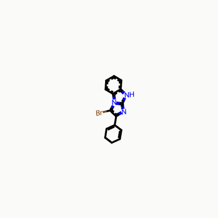 Brc1c(C2=CCCC=C2)nc2[nH]c3ccccc3n12